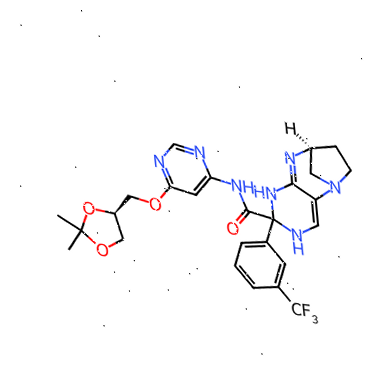 CC1(C)OC[C@H](COc2cc(NC(=O)C3(c4cccc(C(F)(F)F)c4)NC=C4C(=N[C@H]5CCN4C5)N3)ncn2)O1